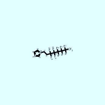 FC(F)(F)C(F)(F)C(F)(F)C(F)(F)C(F)(F)C(F)(F)CCn1ccnc1